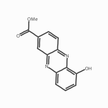 COC(=O)c1ccc2nc3c(O)cccc3nc2c1